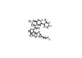 Cn1ncc(NC(=O)c2nc(-c3ccccc3F)ccc2N)c1N1CC2C(N)C2C1